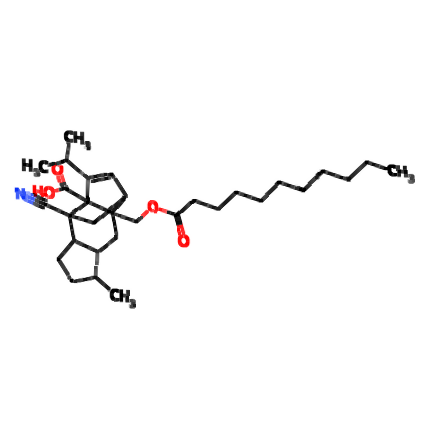 CCCCCCCCCCC(=O)OCC12CC3C(C)CCC3C3(C#N)CC1C=C(C(C)C)C32C(=O)O